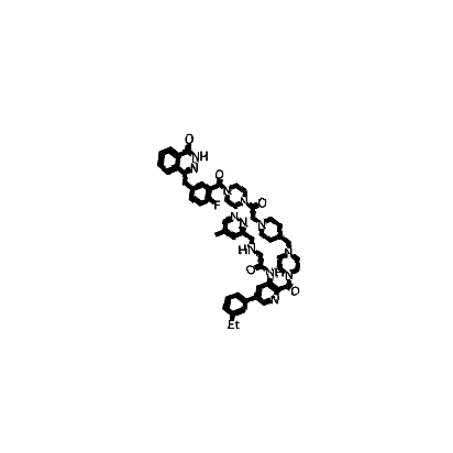 CCc1cccc(-c2cnc(C(=O)N3CCN(CC4CCN(CC(=O)N5CCN(C(=O)c6cc(Cc7n[nH]c(=O)c8ccccc78)ccc6F)CC5)CC4)CC3)c(NC(=O)CNCc3cc(C)cnn3)c2)c1